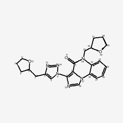 O=c1c2c(-n3cc(CC4CCCO4)nn3)ncn2c2ccccc2n1CC1CCCO1